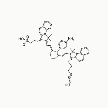 CC1(C)C(/C=C/C2=C(c3ccc(N)cc3)C(=C/C=C3/N(CCCS(=O)(=O)O)c4ccc5ccccc5c4C3(C)C)/CCC2)=[N+](CCCSOOO)c2ccc3ccccc3c21